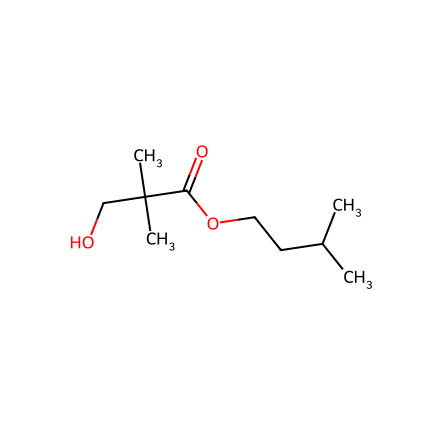 CC(C)CCOC(=O)C(C)(C)CO